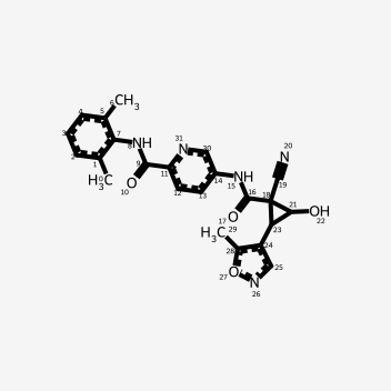 Cc1cccc(C)c1NC(=O)c1ccc(NC(=O)C2(C#N)C(O)C2c2cnoc2C)cn1